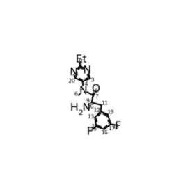 CCc1ncc(N(C)C(=O)[C@@H](N)Cc2cc(F)cc(F)c2)cn1